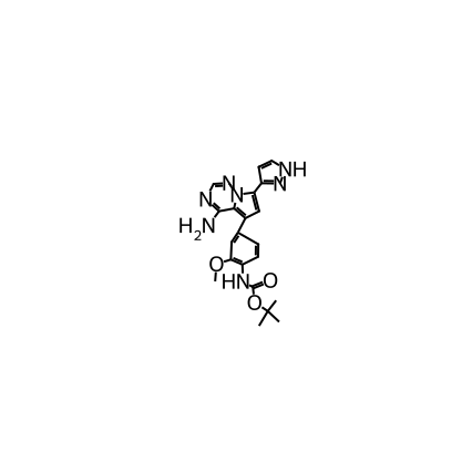 COc1cc(-c2cc(-c3cc[nH]n3)n3ncnc(N)c23)ccc1NC(=O)OC(C)(C)C